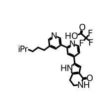 CC(C)CCCc1cncc(-c2cc(-c3cc4c([nH]3)CCNC4=O)ccn2)c1.O=C(O)C(F)(F)F